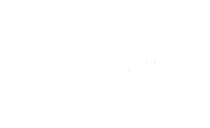 COc1ccc2c(c1C=O)CCC2